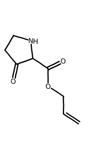 C=CCOC(=O)C1NCCC1=O